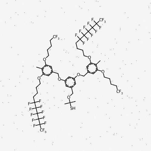 Cc1c(OCCCCC(F)(F)F)cc(COc2cc(COC(C)(C)S)cc(OCc3cc(OCCCCC(F)(F)F)c(C)c(OCCCCC(F)(F)C(F)(F)C(F)(F)C(F)(F)C(F)(F)C(F)(F)F)c3)c2)cc1OCCCCC(F)(F)C(F)(F)C(F)(F)C(F)(F)C(F)(F)C(F)(F)F